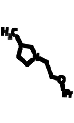 CC1CCN(CCOC(C)C)C1